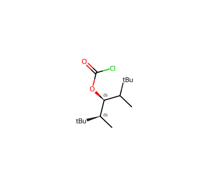 CC([C@H](OC(=O)Cl)[C@@H](C)C(C)(C)C)C(C)(C)C